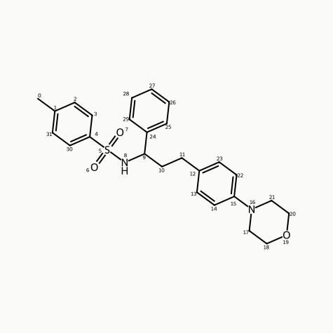 Cc1ccc(S(=O)(=O)NC(CCc2ccc(N3CCOCC3)cc2)c2ccccc2)cc1